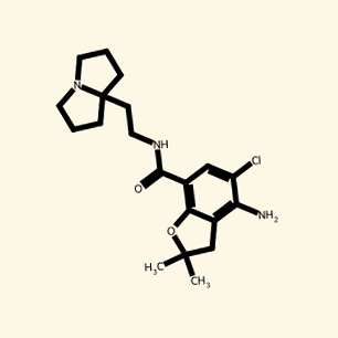 CC1(C)Cc2c(N)c(Cl)cc(C(=O)NCCC34CCCN3CCC4)c2O1